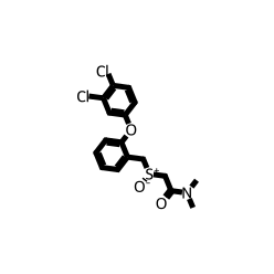 CN(C)C(=O)C[S+]([O-])Cc1ccccc1Oc1ccc(Cl)c(Cl)c1